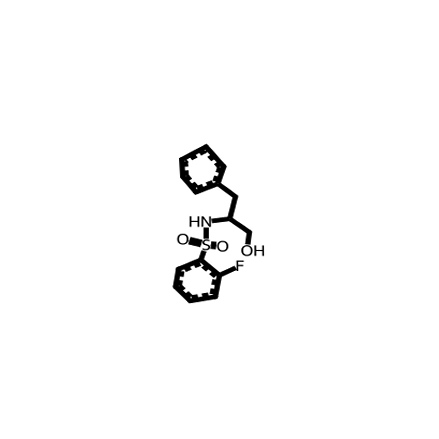 O=S(=O)(NC(CO)Cc1ccccc1)c1ccccc1F